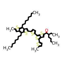 CCCCCCCCc1c2cc(-c3ccc(-c4sc(-c5ccc(C)s5)c5cc(C(=O)C(CC)CCCC)sc45)s3)sc2c(CCCCCCCC)c2cc(C)sc12